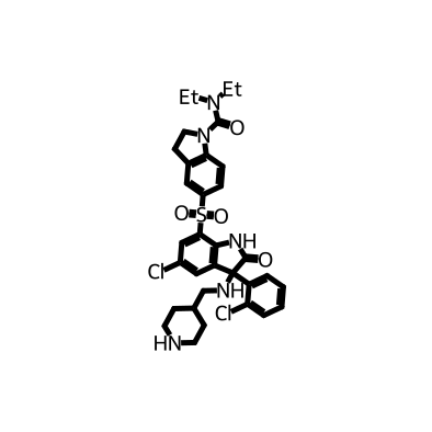 CCN(CC)C(=O)N1CCc2cc(S(=O)(=O)c3cc(Cl)cc4c3NC(=O)C4(NCC3CCNCC3)c3ccccc3Cl)ccc21